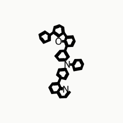 c1ccc(-c2cccc3c2oc2c(-c4cccc(N(c5ccccc5)c5ccc(-c6cccc7cccnc67)cc5)c4)cccc23)cc1